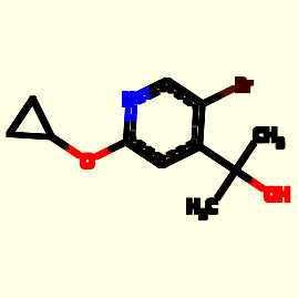 CC(C)(O)c1cc(OC2CC2)ncc1Br